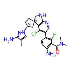 Cc1cn([C@H]2CC[C@]3(CNc4ncc(-c5ccc(N)c(C(=O)N(C)C)c5F)c(Cl)c43)C2)nc1N